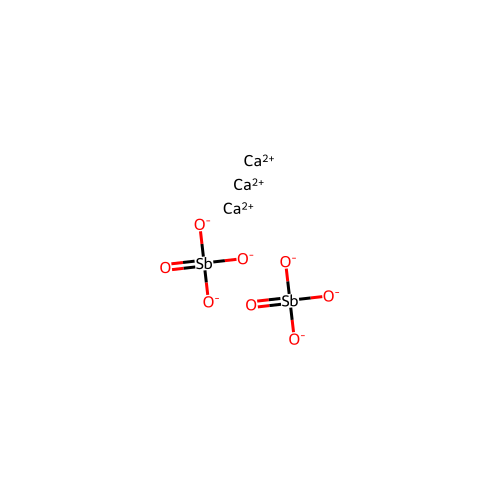 [Ca+2].[Ca+2].[Ca+2].[O]=[Sb]([O-])([O-])[O-].[O]=[Sb]([O-])([O-])[O-]